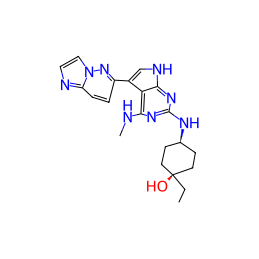 CC[C@]1(O)CC[C@@H](Nc2nc(NC)c3c(-c4ccc5nccn5n4)c[nH]c3n2)CC1